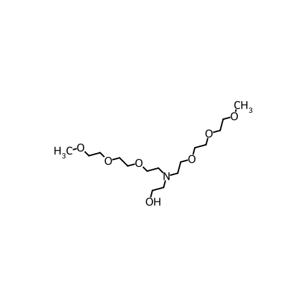 COCCOCCOCCN(CCO)CCOCCOCCOC